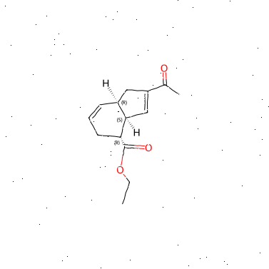 CCOC(=O)[C@@H]1CC=C[C@H]2CC(C(C)=O)=C[C@H]21